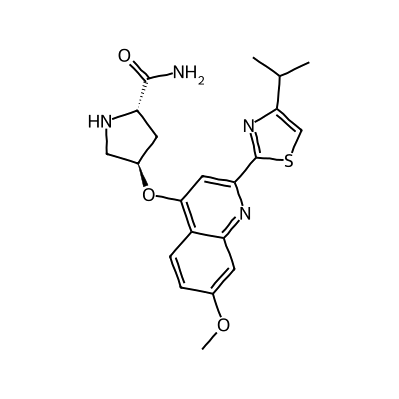 COc1ccc2c(O[C@H]3CN[C@H](C(N)=O)C3)cc(-c3nc(C(C)C)cs3)nc2c1